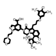 Cc1cc(OCCCc2c3n(c4c(-c5c(C)nn(C)c5C)c(Cl)ccc24)[C@H](C)CN(c2cc(C(=O)O)c4cnn(CCN5CCOCC5)c4c2)C3=O)cc(C)c1Cl